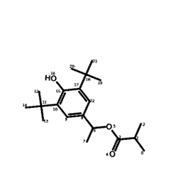 CC(C)C(=O)OC(C)c1cc(C(C)(C)C)c(O)c(C(C)(C)C)c1